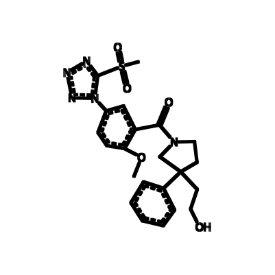 COc1ccc(-n2nnnc2S(C)(=O)=O)cc1C(=O)N1CCC(CCO)(c2ccccc2)C1